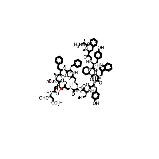 CCCC[C@@H](C(=O)N(C)CC(=O)N[C@H](C=O)CC(=O)O)N(C)C(=O)C(Cc1ccccc1)N(C)C(=O)[C@H](Cc1ccccc1)NC(=O)CSC[C@H](NC(=O)[C@H](CC(C)C)NC(=O)[C@H](Cc1ccc(O)cc1)NC(=O)[C@H](Cc1c[nH]c2ccccc12)NC(=O)[C@H]1CCCCN1C(=O)[C@H](Cc1ccc(O)cc1)NCC(=O)C(Cc1ccccc1)N(C)C(=O)[C@H](C)N)C(=O)NCC(N)=O